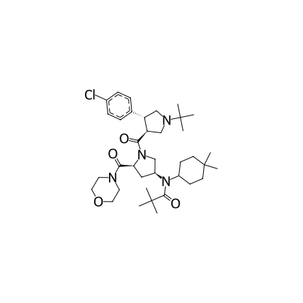 CC1(C)CCC(N(C(=O)C(C)(C)C)[C@H]2C[C@@H](C(=O)N3CCOCC3)N(C(=O)[C@@H]3CN(C(C)(C)C)C[C@H]3c3ccc(Cl)cc3)C2)CC1